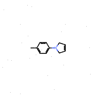 Cc1ccc(N2CC=CC2)cc1